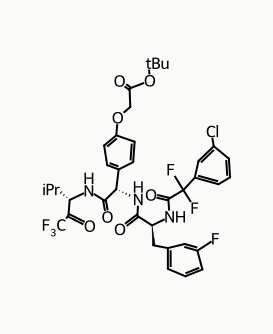 CC(C)[C@H](NC(=O)[C@@H](NC(=O)[C@H](Cc1cccc(F)c1)NC(=O)C(F)(F)c1cccc(Cl)c1)c1ccc(OCC(=O)OC(C)(C)C)cc1)C(=O)C(F)(F)F